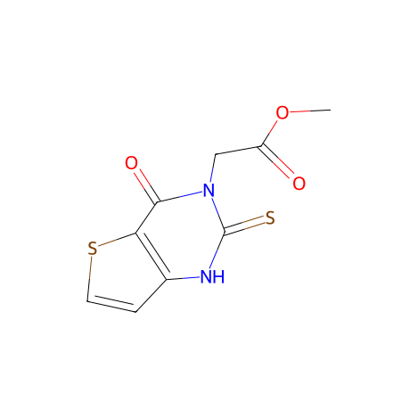 COC(=O)Cn1c(=S)[nH]c2ccsc2c1=O